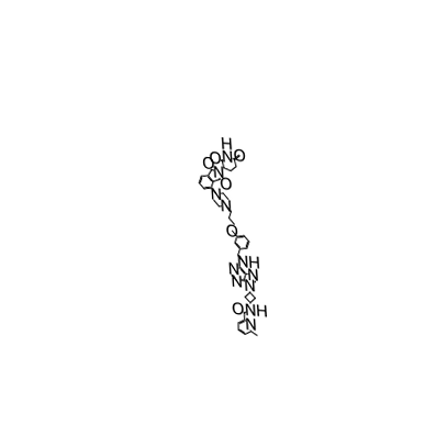 Cc1cccc(C(=O)NC2CC(n3cnc4c(NCc5cccc(OCCCN6CCN(c7cccc8c7C(=O)N([C@H]7CCC(=O)NC7=O)C8=O)CC6)c5)ncnc43)C2)n1